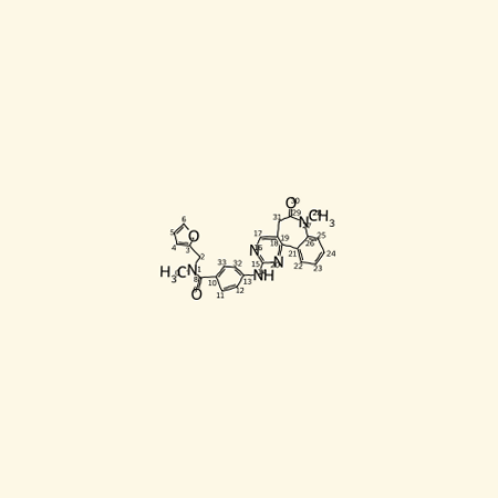 CN(Cc1ccco1)C(=O)c1ccc(Nc2ncc3c(n2)-c2ccccc2N(C)C(=O)C3)cc1